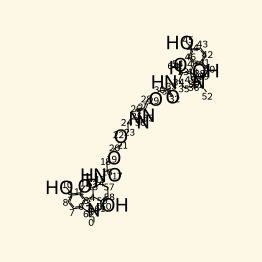 CN1CC[C@]23c4c5ccc(O)c4O[C@H]2[C@@H](NC(=O)COCCOCCn2cc(COCC(=O)N[C@H]4CC[C@@]6(O)C7Cc8ccc(O)c9c8[C@@]6(CCN7C)[C@H]4O9)nn2)CC[C@@]3(O)C1C5